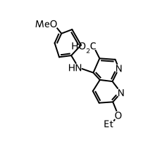 CCOc1ccc2c(Nc3ccc(OC)cc3)c(C(=O)O)cnc2n1